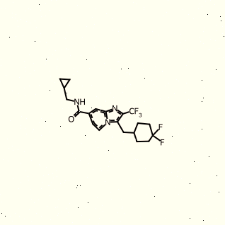 O=C(NCC1CC1)c1ccn2c(CC3CCC(F)(F)CC3)c(C(F)(F)F)nc2c1